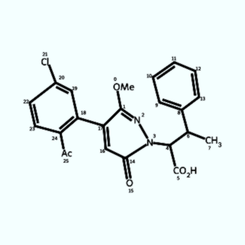 COc1nn(C(C(=O)O)C(C)c2ccccc2)c(=O)cc1-c1cc(Cl)ccc1C(C)=O